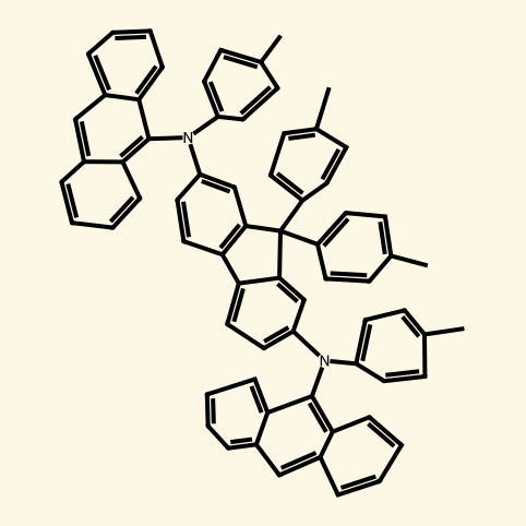 Cc1ccc(N(c2ccc3c(c2)C(c2ccc(C)cc2)(c2ccc(C)cc2)c2cc(N(c4ccc(C)cc4)c4c5ccccc5cc5ccccc45)ccc2-3)c2c3ccccc3cc3ccccc23)cc1